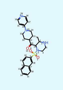 CC1NCCN(S(=O)(=O)c2ccc3ccccc3c2)C1C(=O)C1CCN(c2ccncc2)CC1